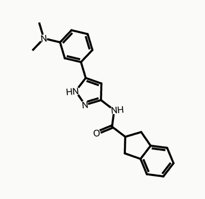 CN(C)c1cccc(-c2cc(NC(=O)C3Cc4ccccc4C3)n[nH]2)c1